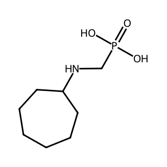 O=P(O)(O)CNC1CCCCCC1